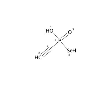 C#CP(=O)(O)[SeH]